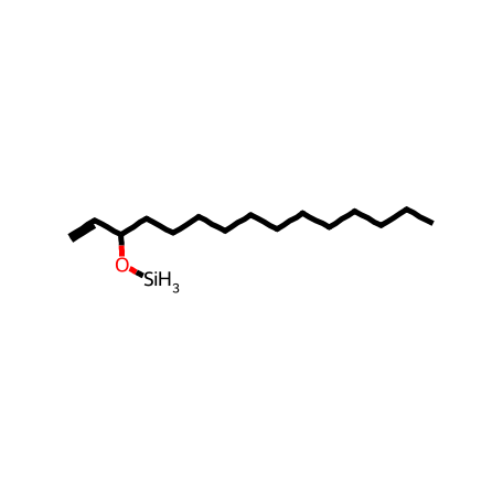 C=CC(CCCCCCCCCCCC)O[SiH3]